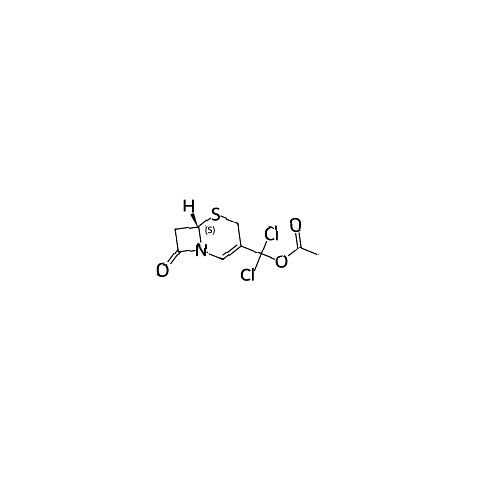 CC(=O)OC(Cl)(Cl)C1=CN2C(=O)C[C@@H]2SC1